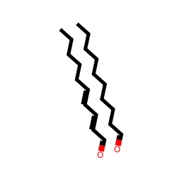 CCCCCC=CC=CC=O.CCCCCCCCCC=O